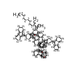 C=C(\C=C/C=C\C=C/C=C\C)N(C)c1ccc2c(c1)c1cc(-n3c4ccccc4c4ccccc43)ccc1n2-c1ccc(-c2ccc(C(F)(F)F)cc2C(F)(F)F)cc1-c1c(C#N)cccc1-n1c2ccc(-n3c4ccccc4c4ccccc43)cc2c2cc(-n3c4ccccc4c4ccccc43)ccc21